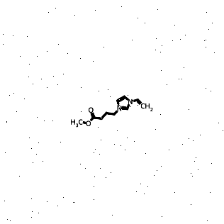 C=Cn1cc[n+](CCCC(=O)OC)c1